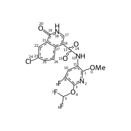 COc1nc(OC(F)F)c(F)cc1NS(=O)(=O)c1c[nH]c(=O)c2cc(Cl)ccc12